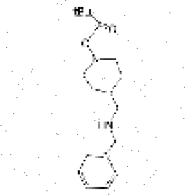 CC(C)(C)C(=O)ON1CCC(CNCc2ccccc2)CC1